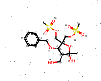 C[C@]1(O)OC(COS(C)(=O)=O)(COS(C)(=O)=O)[C@@H](OCc2ccccc2)[C@@H]1CO